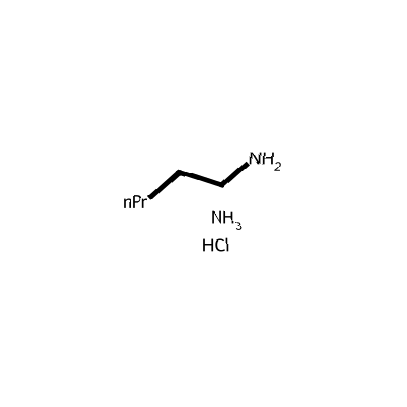 CCCCCN.Cl.N